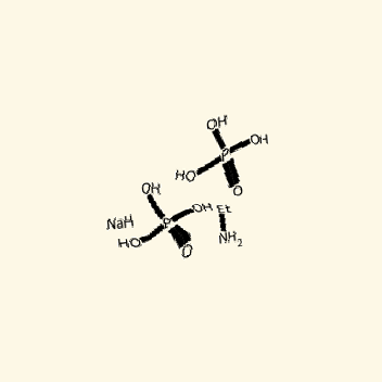 CCN.O=P(O)(O)O.O=P(O)(O)O.[NaH]